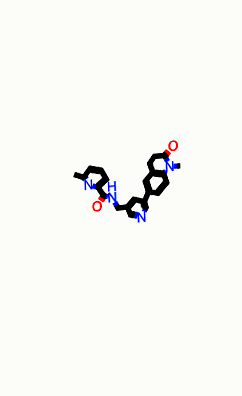 Cc1cccc(C(=O)NCc2cncc(-c3ccc4c(c3)CCC(=O)N4C)c2)n1